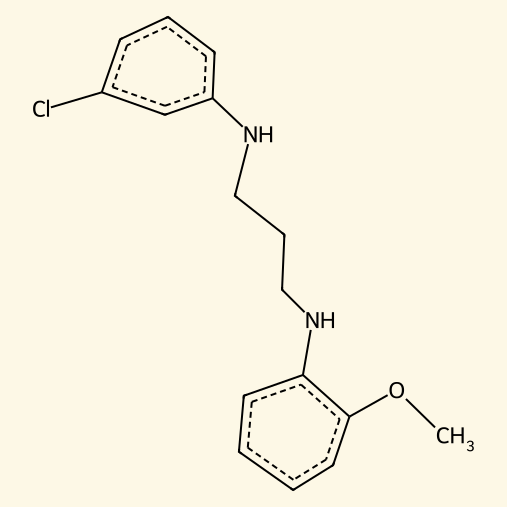 COc1ccccc1NCCCNc1cccc(Cl)c1